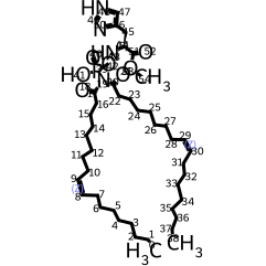 CCCCCCCC/C=C\CCCCCCCC(=O)N(C(=O)CCCCCCC/C=C\CCCCCCCC)P(=O)(O)ON[C@@H](Cc1c[nH]cn1)C(=O)OC